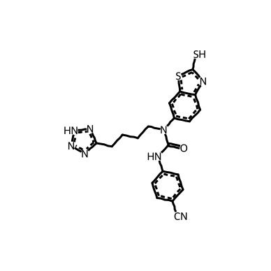 N#Cc1ccc(NC(=O)N(CCCCc2nn[nH]n2)c2ccc3nc(S)sc3c2)cc1